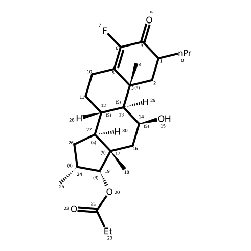 CCCC1C[C@@]2(C)C(=C(F)C1=O)CC[C@@H]1[C@@H]2[C@@H](O)C[C@]2(C)[C@H](OC(=O)CC)[C@H](C)C[C@@H]12